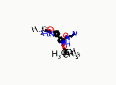 C=CC(=O)Nc1cccc(-c2ccc3c(c2)c(C(=O)NCCC#N)nn3COCC[Si](C)(C)C)c1